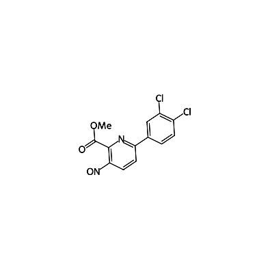 COC(=O)c1nc(-c2ccc(Cl)c(Cl)c2)ccc1N=O